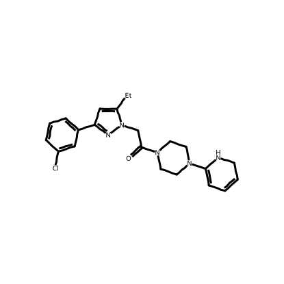 CCc1cc(-c2cccc(Cl)c2)nn1CC(=O)N1CCN(C2=CC=CCN2)CC1